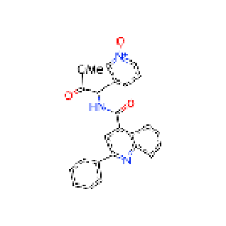 COC(=O)C(NC(=O)c1cc(-c2ccccc2)nc2ccccc12)c1ccc[n+]([O-])c1